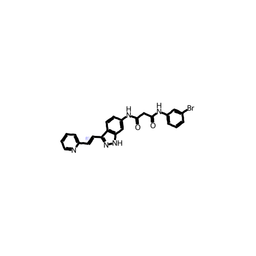 O=C(CC(=O)Nc1ccc2c(/C=C/c3ccccn3)n[nH]c2c1)Nc1cccc(Br)c1